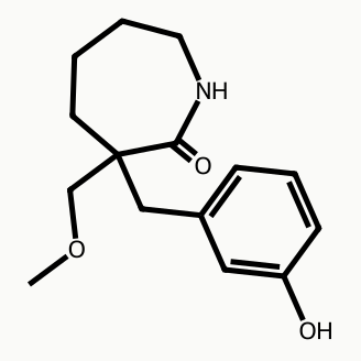 COCC1(Cc2cccc(O)c2)CCCCNC1=O